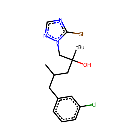 CC(Cc1cccc(Cl)c1)CC(O)(Cn1ncnc1S)C(C)(C)C